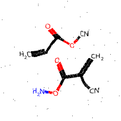 C=C(C#N)C(=O)ON.C=CC(=O)OC#N